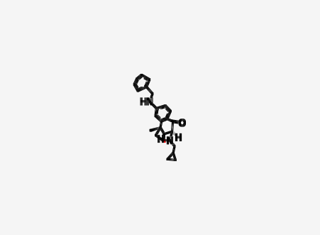 C[C@H]1[C@H]2C(=O)c3ccc(NCc4ccccc4)cc3[C@@]1(C)CCN2CC1CC1